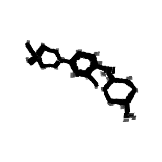 Cc1nc(N2CC[Si](C)(C)CC2)ccc1NC1CCC(N)CC1